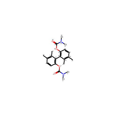 CCN(CC)C(=O)Oc1ccc(C)c(C)c1-c1c(OC(=O)N(CC)CC)ccc(C)c1C